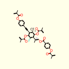 C=C(C)C(=O)Oc1ccc(C#Cc2c(OC(=O)C(=C)C)c(F)c(/C(C)=C/OC(=O)c3ccc(OC(=O)C(=C)C)cc3)c(OC(=O)C(=C)C)c2C(F)(F)F)cc1